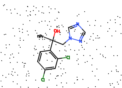 CCCC(O)(Cn1cncn1)c1ccc(Cl)cc1Cl